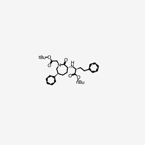 CCCCOC(=O)[C@H](CCc1ccccc1)N[C@@H]1CC[C@@H](c2ccccc2)CN(CC(=O)OC(C)(C)C)C1=O